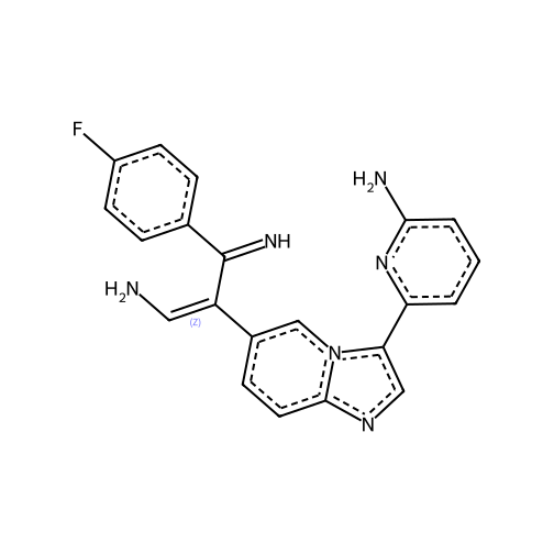 N=C(/C(=C\N)c1ccc2ncc(-c3cccc(N)n3)n2c1)c1ccc(F)cc1